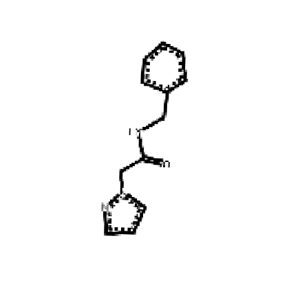 O=C(Cn1cccn1)NCc1ccccc1